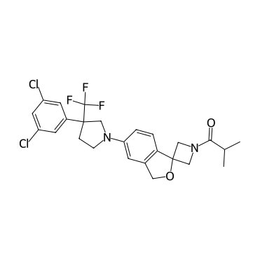 CC(C)C(=O)N1CC2(C1)OCc1cc(N3CCC(c4cc(Cl)cc(Cl)c4)(C(F)(F)F)C3)ccc12